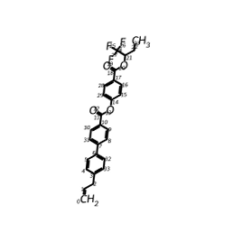 C=CCc1ccc(-c2ccc(C(=O)Oc3ccc(C(=O)OC(CC)C(F)(F)F)cc3)cc2)cc1